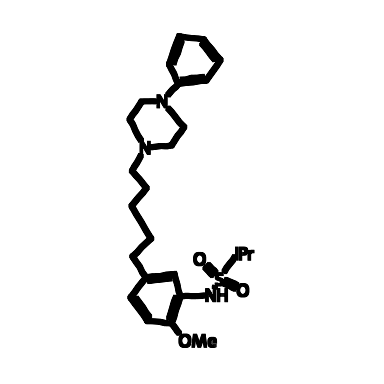 COc1ccc(CCCCCN2CCN(c3ccccc3)CC2)cc1NS(=O)(=O)C(C)C